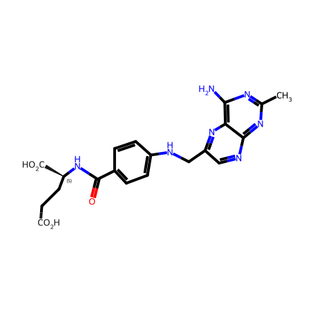 Cc1nc(N)c2nc(CNc3ccc(C(=O)N[C@@H](CCC(=O)O)C(=O)O)cc3)cnc2n1